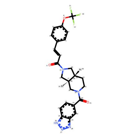 O=C(C=Cc1ccc(OC(F)(F)F)cc1)N1C[C@@H]2CN(C(=O)c3ccc4[nH]nnc4c3)CC[C@H]2C1